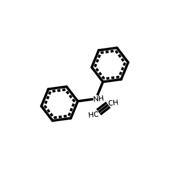 C#C.c1ccc(Nc2ccccc2)cc1